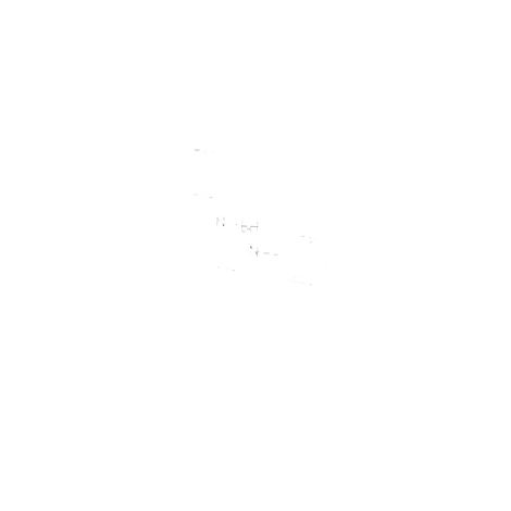 CCC1CCN(c2ccccc2)BN1c1ccccc1